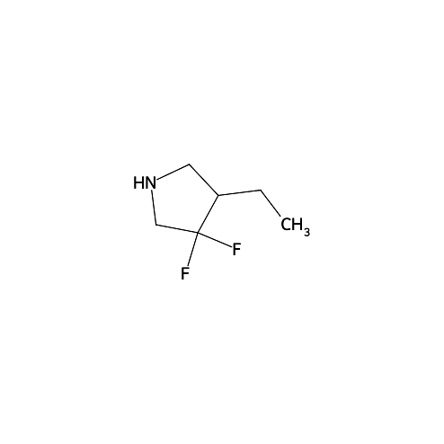 CCC1CNCC1(F)F